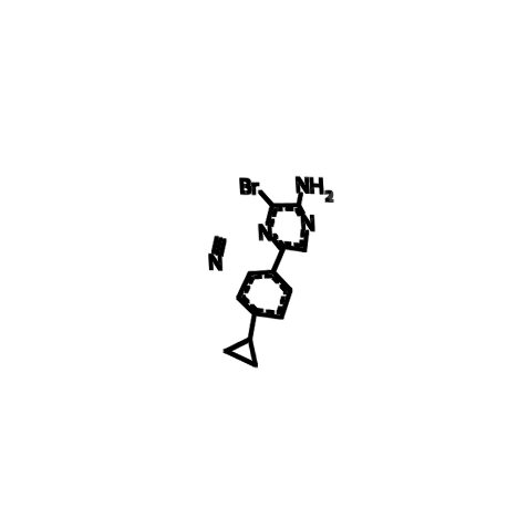 C#N.Nc1ncc(-c2ccc(C3CC3)cc2)nc1Br